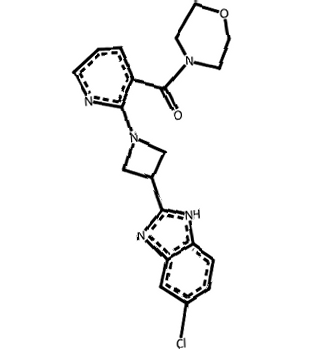 O=C(c1cccnc1N1CC(c2nc3cc(Cl)ccc3[nH]2)C1)N1CCOCC1